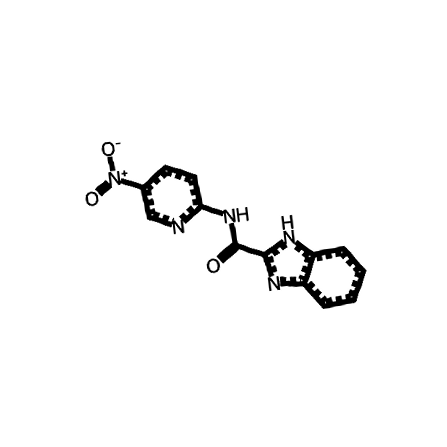 O=C(Nc1ccc([N+](=O)[O-])cn1)c1nc2ccccc2[nH]1